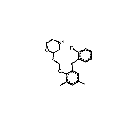 Cc1cc(C)c(OCCC2CNCCO2)c(Cc2ccccc2F)c1